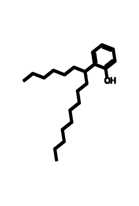 CCCCCCCCCC(CCCCCC)c1ccccc1O